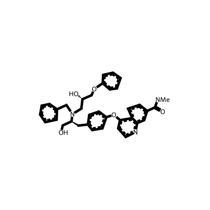 CNC(=O)c1ccc2c(Oc3ccc(C[C@@H](CO)N(Cc4ccccc4)C[C@H](O)COc4ccccc4)cc3)ccnc2c1